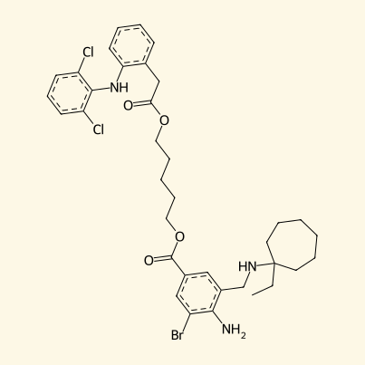 CCC1(NCc2cc(C(=O)OCCCCCOC(=O)Cc3ccccc3Nc3c(Cl)cccc3Cl)cc(Br)c2N)CCCCCC1